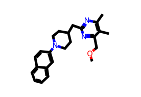 COCc1nc(CC2CCN(c3ccc4ccccc4c3)CC2)nc(C)c1C